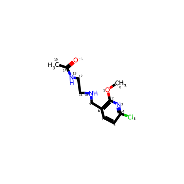 COc1nc(Cl)ccc1CNCCNC(C)=O